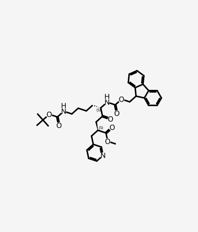 COC(=O)[C@H](CC(=O)[C@H](CCCCNC(=O)OC(C)(C)C)NC(=O)OCC1c2ccccc2-c2ccccc21)Cc1cccnc1